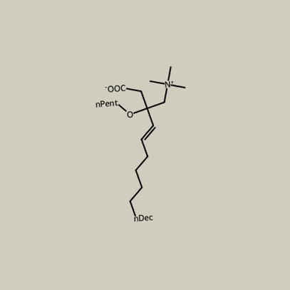 CCCCCCCCCCCCCCC=CC(CC(=O)[O-])(C[N+](C)(C)C)OCCCCC